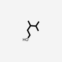 C[C](CCO)C(C)C